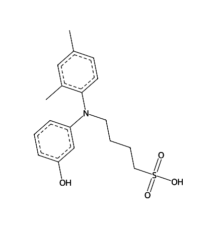 Cc1ccc(N(CCCCS(=O)(=O)O)c2cccc(O)c2)c(C)c1